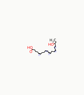 CCC(O)/C=C/C=C\C/C=C\C=C/CC/C=C\CCCC(=O)O